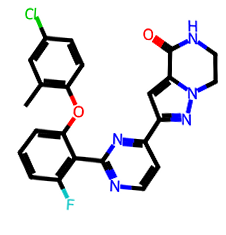 Cc1cc(Cl)ccc1Oc1cccc(F)c1-c1nccc(-c2cc3n(n2)CCNC3=O)n1